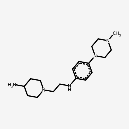 CN1CCN(c2ccc(NCCN3CCC(N)CC3)cc2)CC1